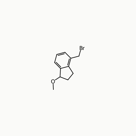 COC1CCc2c(CBr)cccc21